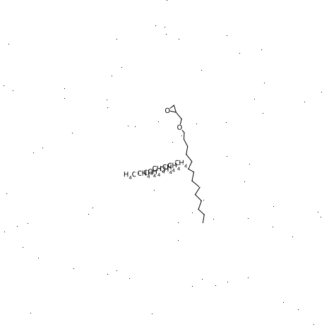 C.C.C.C.C.C.C.C.C.CCCCCCCCCCCCCCOCC1CO1